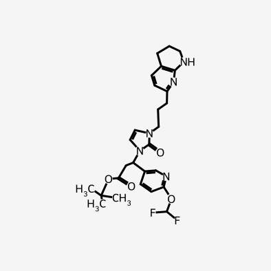 CC(C)(C)OC(=O)CC(c1ccc(OC(F)F)nc1)n1ccn(CCCc2ccc3c(n2)NCCC3)c1=O